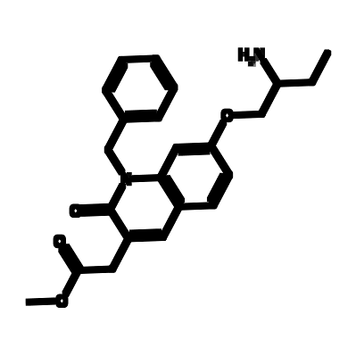 CCC(N)COc1ccc2cc(CC(=O)OC)c(=O)n(Cc3ccccc3)c2c1